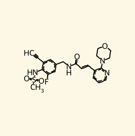 C#Cc1cc(CNC(=O)/C=C/c2cccnc2N2CCOCC2)cc(F)c1NS(C)(=O)=O